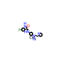 Cc1cc(N/C=C2/C(=O)Nc3cc(F)ccc32)ccc1NCCc1ccccn1